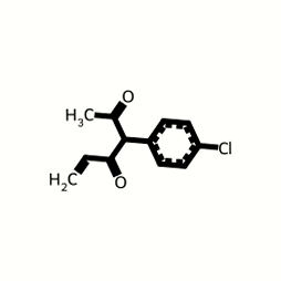 C=CC(=O)C(C(C)=O)c1ccc(Cl)cc1